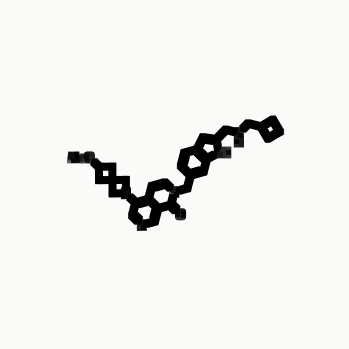 COC1CC2(C1)CN(c1cncc3c(=O)n(Cc4ccc5cc(CNCC6CCC6)[nH]c5c4)ccc13)C2